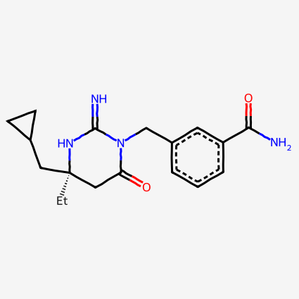 CC[C@@]1(CC2CC2)CC(=O)N(Cc2cccc(C(N)=O)c2)C(=N)N1